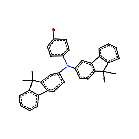 CC1(C)c2ccccc2-c2cc(N(c3ccc(Br)cc3)c3ccc4c(c3)C(C)(C)c3ccccc3-4)ccc21